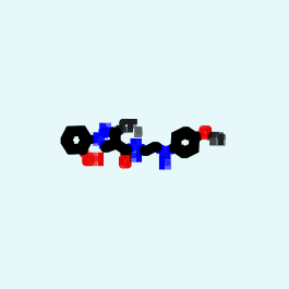 CCOc1ccc(NCCNC(=O)c2cn(-c3ccccc3O)nc2C(F)(F)F)cc1